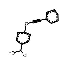 OC(Cl)c1ccc(OC#Cc2ccccc2)cc1